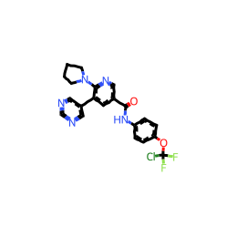 O=C(Nc1ccc(OC(F)(F)Cl)cc1)c1cnc(N2CCCC2)c(-c2cncnc2)c1